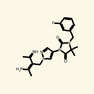 CC(=N)/C(Cn1cc(N2C(=O)N(Cc3cccc(F)c3)C(C)(C)C2=O)cn1)=C(/C)P